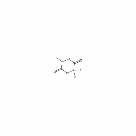 CC1OC(=O)C(F)(F)OC1=O